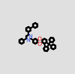 c1ccc(-c2cccc(-c3cc(-c4ccccc4)nc(-c4ccc5c(c4)Oc4ccc6c(c4O5)-c4ccccc4C6(c4ccccc4)c4ccccc4)n3)c2)cc1